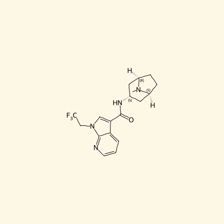 CN1[C@@H]2CC[C@H]1C[C@H](NC(=O)c1cn(CC(F)(F)F)c3ncccc13)C2